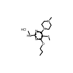 CCCOc1nc(NC)nc(N2CCN(C)CC2)c1SC.Cl